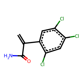 C=C(C(N)=O)c1cc(Cl)c(Cl)cc1Cl